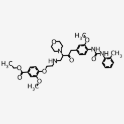 CCOC(=O)c1ccc(OCCNCC(C(=O)Cc2ccc(NC(=O)Nc3ccccc3C)c(OC)c2)N2CCOCC2)c(OC)c1